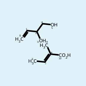 C=CC(O)CO.CC=C(C)C(=O)O